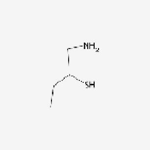 CC[C](S)CN